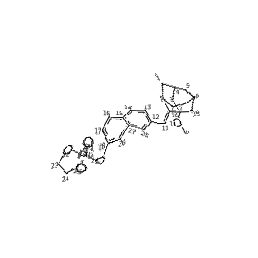 COC12CC3CC(CC(C3)C1=Cc1ccc3ccc(OP4(=O)OCCO4)cc3c1)C2